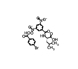 CC(C)C[C@H](NC(=O)c1cc([N+](=O)[O-])cc([N+](=O)[O-])c1)C(=O)O.O=C(O)c1ccc(Br)cc1